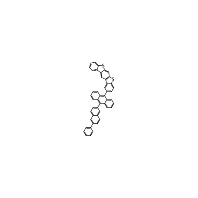 c1ccc(-c2ccc3cc(-c4c5ccccc5c(-c5ccc6sc7cc8sc9ccccc9c8cc7c6c5)c5ccccc45)ccc3c2)cc1